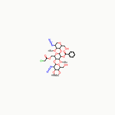 CCCCOC1C(N=[N+]=[N-])COC(CO)C1OC1OC(COC(=O)CCl)C(OC2OC(CO)C(OCCCC)C(OCCCC)C2N=[N+]=[N-])C(OCCCC)C1OC(=O)c1ccccc1